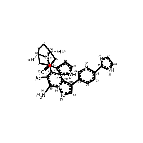 CC(=O)c1c([C@H]2C[C@H]3CC[C@@H](C2)N3C(=O)c2cc[nH]c2)nc2c(-c3ccc(-c4ncc[nH]4)nc3)cnn2c1N